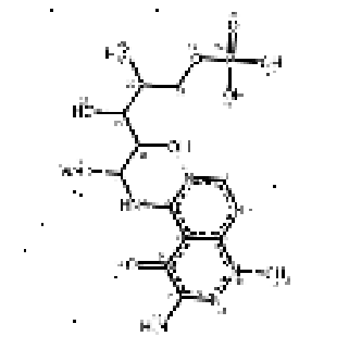 COC(Nc1ncnc2c1c(=O)c(N)nn2C)C(O)C(O)C(C)COP(=O)(O)O